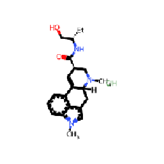 CC[C@@H](CO)NC(=O)[C@@H]1C=C2c3cccc4c3c(cn4C)C[C@H]2N(C)C1.Cl